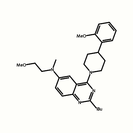 CCC(C)c1nc(N2CCC(c3ccccc3OC)CC2)c2cc(N(C)CCOC)ccc2n1